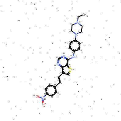 CCN1CCN(c2ccc(Nc3ncnc4c(/C=C/c5ccc([N+](=O)[O-])cc5)csc34)cc2)CC1